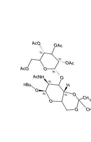 CCCCO[C@@H]1OC2COC(C)(C)O[C@H]2C(O[C@@H]2OC(COC(C)=O)[C@H](OC(C)=O)C(OC(C)=O)[C@@H]2OC(C)=O)[C@@H]1NC(C)=O